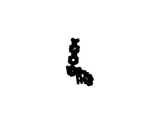 CC(C)N1CCN([C@H]2CC[C@H](c3nccc4[nH]c(CN5CCOCC5)cc43)CC2)CC1